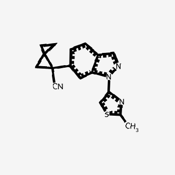 Cc1nc(-n2ncc3ccc(C4(C#N)CC45CC5)cc32)cs1